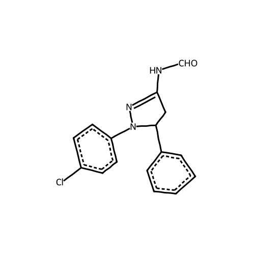 O=CNC1=NN(c2ccc(Cl)cc2)C(c2ccccc2)C1